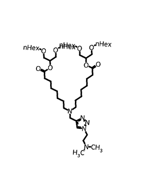 CCCCCCOCC(COCCCCCC)OC(=O)CCCCCCCN(CCCCCCCC(=O)OC(COCCCCCC)COCCCCCC)Cc1cn(CCN(C)C)nn1